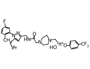 Cc1ccc(F)cc1-n1nc(CNC(=O)CN2CCN(C[C@@H](O)COc3ccc(C(F)(F)F)cc3)CC2)cc1CC(C)C